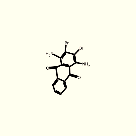 Nc1c(Br)c(Br)c(N)c2c1C(=O)c1ccccc1C2=O